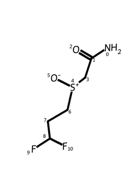 NC(=O)C[S+]([O-])CCC(F)F